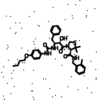 CCCCOc1ccc(NC(=O)N[C@@H](Cc2ccccc2)[C@H](O)C(=O)N2CSC(C)(C)[C@H]2C(=O)NCc2ccccc2C)cc1